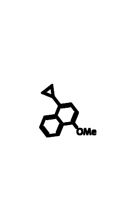 COc1ccc(C2CC2)c2ccccc12